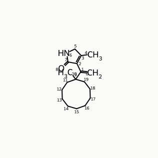 C=C(C1=C(C)CNC1=O)C1(C)CCCCCCCCC1